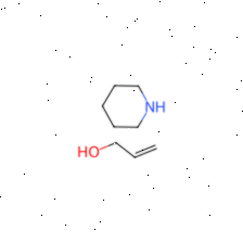 C1CCNCC1.C=CCO